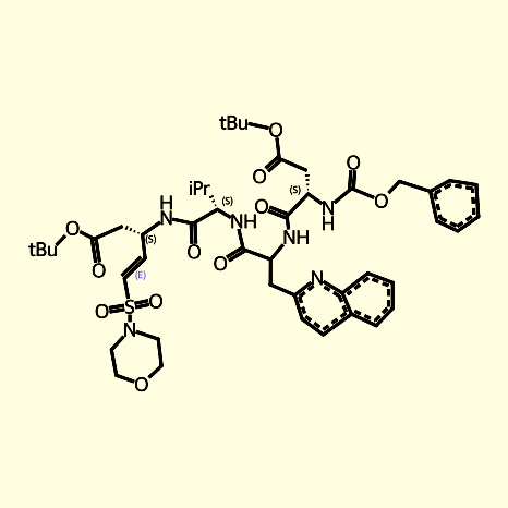 CC(C)[C@H](NC(=O)C(Cc1ccc2ccccc2n1)NC(=O)[C@H](CC(=O)OC(C)(C)C)NC(=O)OCc1ccccc1)C(=O)N[C@H](/C=C/S(=O)(=O)N1CCOCC1)CC(=O)OC(C)(C)C